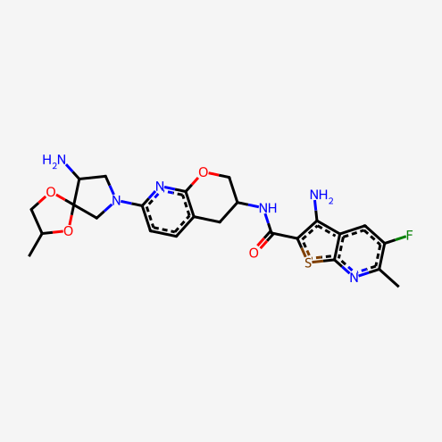 Cc1nc2sc(C(=O)NC3COc4nc(N5CC(N)C6(C5)OCC(C)O6)ccc4C3)c(N)c2cc1F